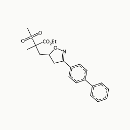 CCOC(=O)C(C)(CC1CC(c2ccc(-c3ccccc3)cc2)=NO1)S(C)(=O)=O